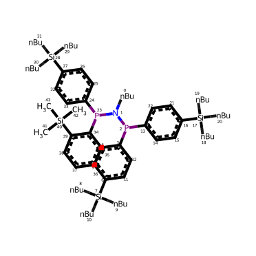 CCCCN(P(c1ccc([Si](CCCC)(CCCC)CCCC)cc1)c1ccc([Si](CCCC)(CCCC)CCCC)cc1)P(c1ccc([Si](CCCC)(CCCC)CCCC)cc1)c1ccccc1[Si](C)(C)C